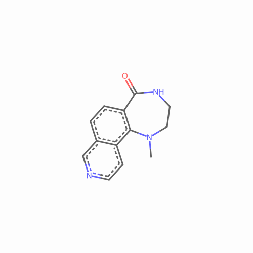 CN1CCNC(=O)c2ccc3cnccc3c21